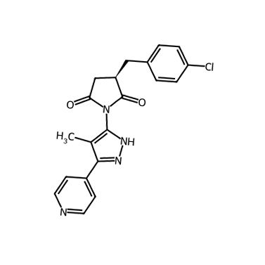 Cc1c(-c2ccncc2)n[nH]c1N1C(=O)C[C@@H](Cc2ccc(Cl)cc2)C1=O